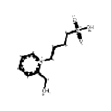 CCc1cccc[n+]1CCCCS(=O)(=O)O